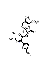 CO/N=C(\C(=O)N[C@@H]1C(=O)N2C(C(=O)O)=C(C)CS[C@H]12)c1csc(N)n1.[Na]